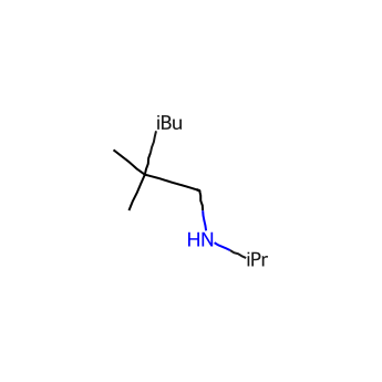 CCC(C)C(C)(C)CNC(C)C